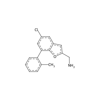 Cc1ccccc1-c1cc(Cl)cc2cc(CN)oc12